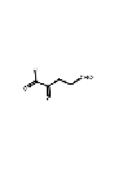 O=CCCC(=O)C(=O)Cl